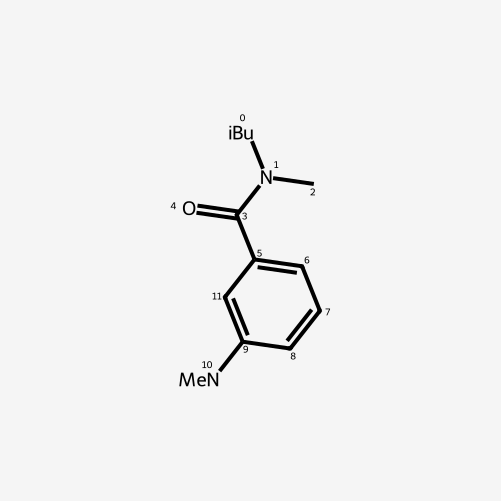 CCC(C)N(C)C(=O)c1cccc(NC)c1